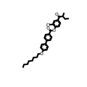 CCCCCCCCOc1ccc(-c2ccc(C(=O)Oc3ccc(C(=O)C(C)CC)cc3Cl)cc2)cc1